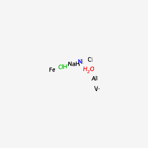 Cl.O.[Al].[C].[Fe].[N].[NaH].[V]